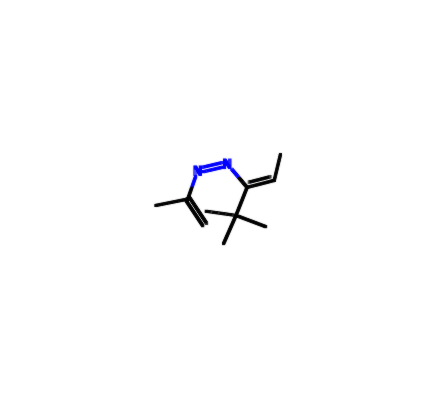 C=C(C)/N=N\C(=C/C)C(C)(C)C